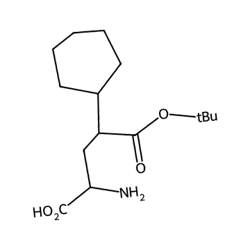 CC(C)(C)OC(=O)C(CC(N)C(=O)O)C1CCCCC1